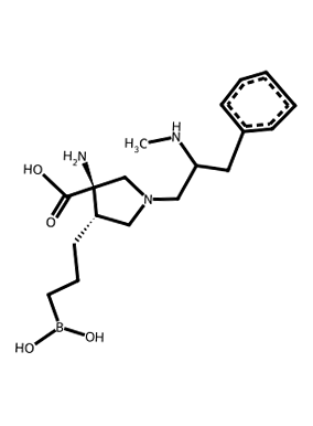 CNC(Cc1ccccc1)CN1C[C@H](CCCB(O)O)[C@](N)(C(=O)O)C1